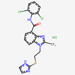 Cl.O=C(Nc1c(Cl)cccc1Cl)c1cccc2c1nc(C(F)(F)F)n2CCSc1ncc[nH]1